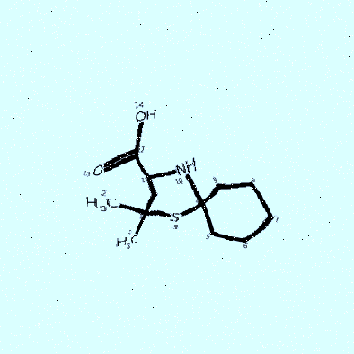 CC1(C)SC2(CCCCC2)NC1C(=O)O